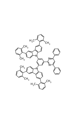 Cc1cccc(C)c1-c1ccc2c(c1)c1cc(-c3c(C)cccc3C)ccc1n2-c1cc(-c2nc(-c3ccccc3)cc(-c3ccccc3)n2)cc(-n2c3ccc(-c4c(C)cccc4C)cc3c3cc(-c4c(C)cccc4C)ccc32)c1